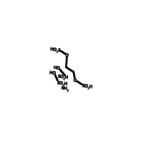 N.O=S(=O)(O)O.O=S(=O)(O)O.O=S(=O)(O)OCCOS(=O)(=O)O